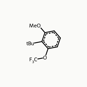 COc1cccc(OC(F)(F)F)c1C(C)(C)C